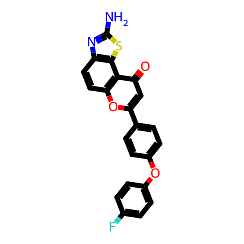 Nc1nc2ccc3oc(-c4ccc(Oc5ccc(F)cc5)cc4)cc(=O)c3c2s1